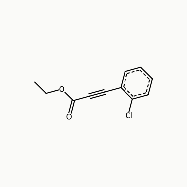 CCOC(=O)C#Cc1ccccc1Cl